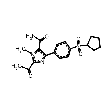 CC(=O)c1nc(-c2ccc(S(=O)(=O)C3CCCC3)cc2)c(C(N)=O)n1C